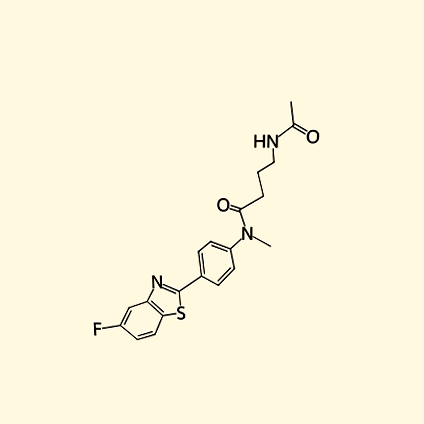 CC(=O)NCCCC(=O)N(C)c1ccc(-c2nc3cc(F)ccc3s2)cc1